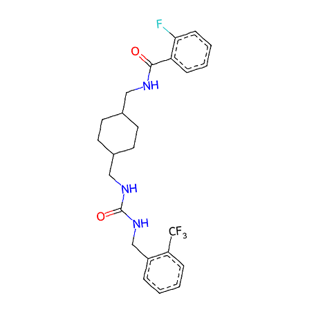 O=C(NCc1ccccc1C(F)(F)F)NCC1CCC(CNC(=O)c2ccccc2F)CC1